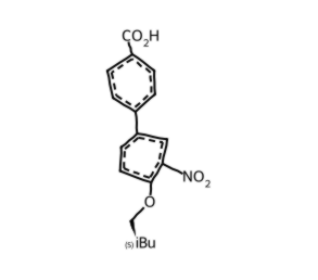 CC[C@H](C)COc1ccc(-c2ccc(C(=O)O)cc2)cc1[N+](=O)[O-]